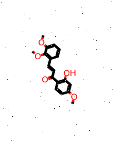 COc1ccc(C(=O)C=Cc2cccc(OC)c2OC)c(O)c1